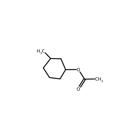 CC(=O)OC1CCCC(C)C1